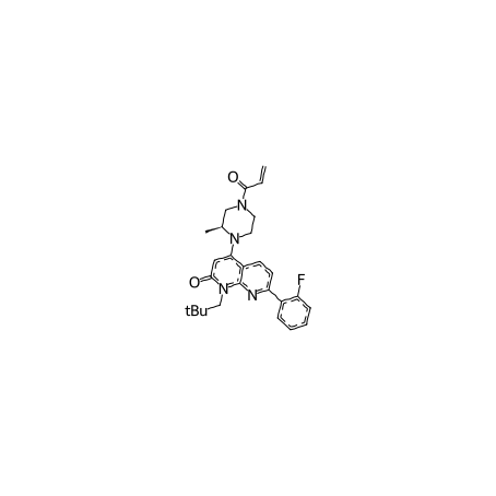 C=CC(=O)N1CCN(c2cc(=O)n(CC(C)(C)C)c3nc(-c4ccccc4F)ccc23)[C@@H](C)C1